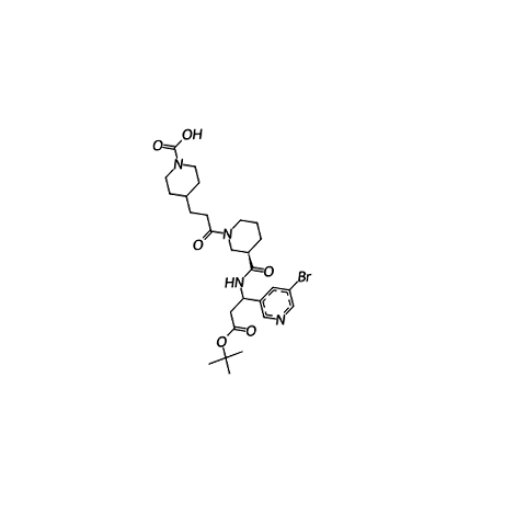 CC(C)(C)OC(=O)CC(NC(=O)[C@@H]1CCCN(C(=O)CCC2CCN(C(=O)O)CC2)C1)c1cncc(Br)c1